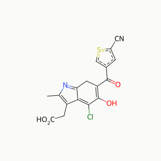 CC1=C(CC(=O)O)C2=C(Cl)C(O)=C(C(=O)c3csc(C#N)c3)CC2=N1